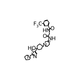 O=C(CNC(=O)c1cccc(C(F)(F)F)c1)N[C@@H]1CCN(C2CCC(O)(c3cnc(N4CCCC4)s3)CC2)C1